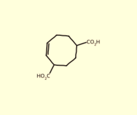 O=C(O)C1C=CCCC(C(=O)O)CC1